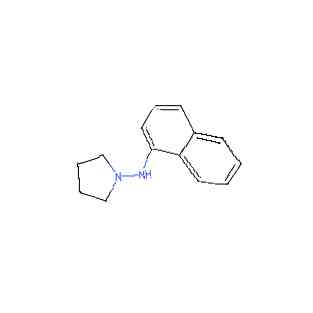 c1ccc2c(NN3CCCC3)cccc2c1